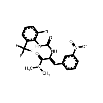 CN(C)C(=O)C(=Cc1cccc([N+](=O)[O-])c1)NC(=O)Nc1c(Cl)cccc1C(F)(F)F